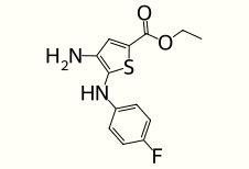 CCOC(=O)c1cc(N)c(Nc2ccc(F)cc2)s1